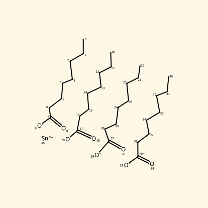 CCCCCCCC(=O)[O-].CCCCCCCC(=O)[O-].CCCCCCCC(=O)[O-].CCCCCCCC(=O)[O-].[Sn+4]